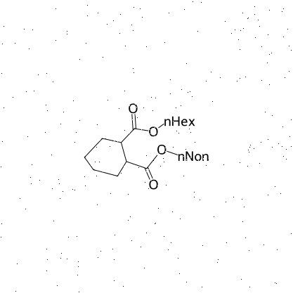 CCCCCCCCCOC(=O)C1CCCCC1C(=O)OCCCCCC